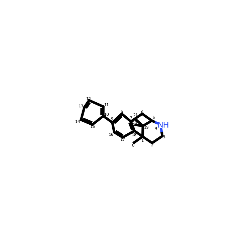 CC12CCNC(Cc3cc(-c4ccccc4)ccc31)C2(C)C